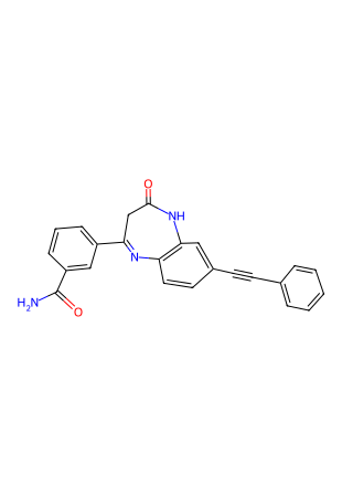 NC(=O)c1cccc(C2=Nc3ccc(C#Cc4ccccc4)cc3NC(=O)C2)c1